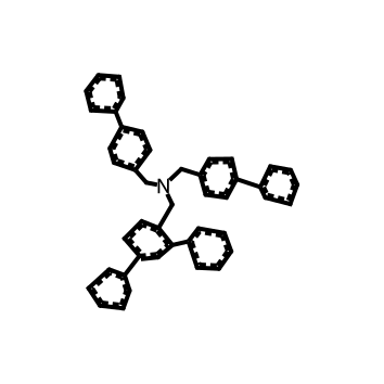 c1ccc(-c2ccc(CN(Cc3ccc(-c4ccccc4)cc3)Cc3ccc(-c4ccccc4)cc3-c3ccccc3)cc2)cc1